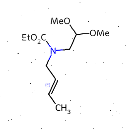 C/C=C/CN(CC(OC)OC)C(=O)OCC